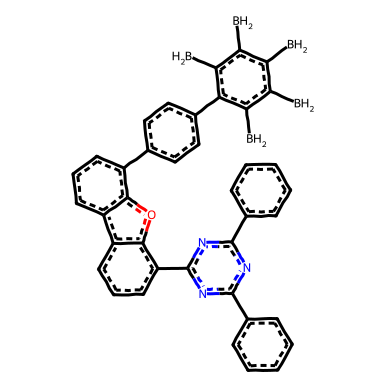 Bc1c(B)c(B)c(-c2ccc(-c3cccc4c3oc3c(-c5nc(-c6ccccc6)nc(-c6ccccc6)n5)cccc34)cc2)c(B)c1B